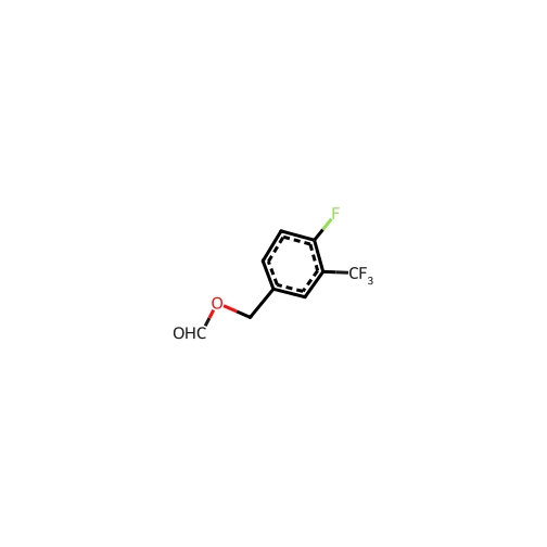 O=COCc1ccc(F)c(C(F)(F)F)c1